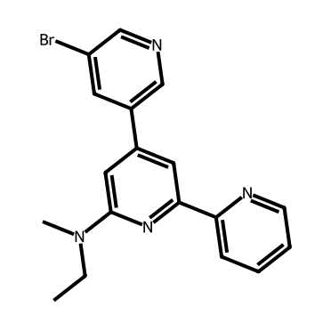 CCN(C)c1cc(-c2cncc(Br)c2)cc(-c2ccccn2)n1